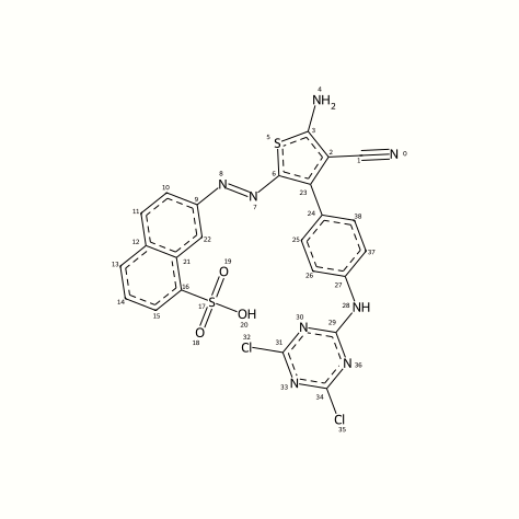 N#Cc1c(N)sc(N=Nc2ccc3cccc(S(=O)(=O)O)c3c2)c1-c1ccc(Nc2nc(Cl)nc(Cl)n2)cc1